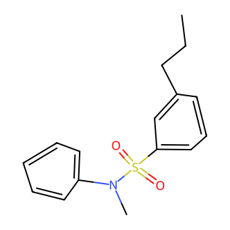 CCCc1cccc(S(=O)(=O)N(C)c2ccccc2)c1